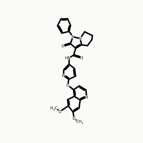 COc1cc2nccc(Oc3ccc(NC(=O)c4c5n(n(-c6ccccc6)c4=O)CCCC5)cn3)c2cc1OC